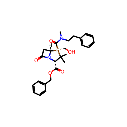 CN(CCc1ccccc1)C(=O)[S@]1(CO)[C@@H]2CC(=O)N2[C@@H](C(=O)OCc2ccccc2)C1(C)C